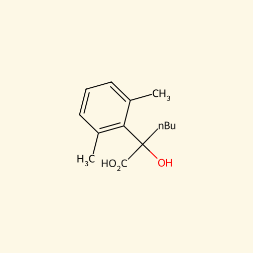 CCCCC(O)(C(=O)O)c1c(C)cccc1C